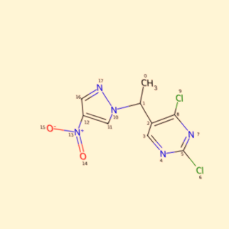 CC(c1cnc(Cl)nc1Cl)n1cc([N+](=O)[O-])cn1